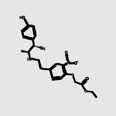 CCOC(=O)COc1ccc(CCN[C@@H](C)[C@@H](O)c2ccc(O)cc2)cc1[N+](=O)[O-]